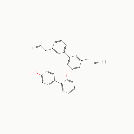 C=CCc1cccc(-c2cccc(CC=C)c2)c1.Oc1ccc(-c2ccccc2O)cc1